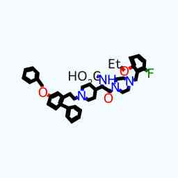 CCOc1cccc(F)c1CN1CCN(C(=O)C(NC(=O)O)C2CCN(CCc3cc(OCc4ccccc4)ccc3-c3ccccc3)CC2)CC1